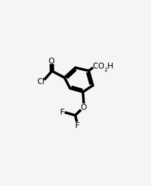 O=C(O)c1cc(OC(F)F)cc(C(=O)Cl)c1